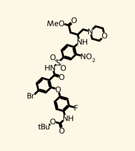 COC(=O)CC(CN1CCOCC1)Nc1ccc(S(=O)(=O)NC(=O)c2ccc(Br)cc2Oc2ccc(NC(=O)OC(C)(C)C)c(F)c2)cc1[N+](=O)[O-]